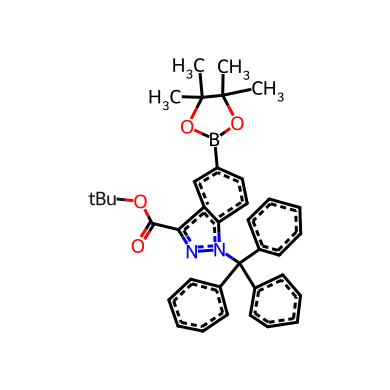 CC(C)(C)OC(=O)c1nn(C(c2ccccc2)(c2ccccc2)c2ccccc2)c2ccc(B3OC(C)(C)C(C)(C)O3)cc12